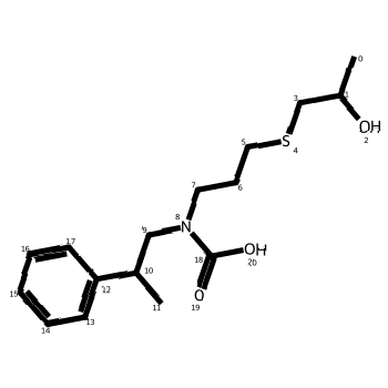 CC(O)CSCCCN(CC(C)c1ccccc1)C(=O)O